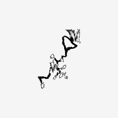 CS(=O)(=O)N(NCCCl)C(=O)OCCc1ccc([N+](=O)[O-])cc1